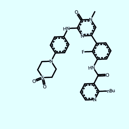 CCCCc1ncccc1C(=O)Nc1cccc(-c2cn(C)c(=O)c(Nc3ccc(N4CCS(=O)(=O)CC4)cc3)n2)c1F